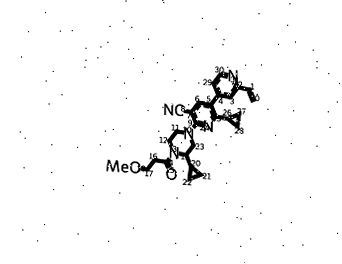 C=Cc1cc(-c2cc(C#N)c(N3CCN(C(=O)CCOC)C(C4CC4)C3)nc2C2CC2)ccn1